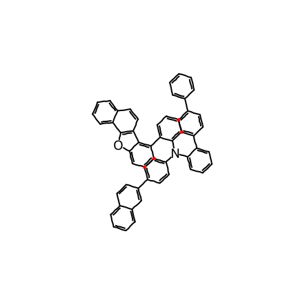 c1ccc(-c2ccc(-c3ccccc3N(c3ccc(-c4ccc5ccccc5c4)cc3)c3ccccc3-c3cccc4oc5c6ccccc6ccc5c34)cc2)cc1